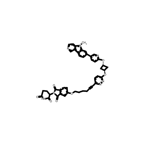 Cn1c2ccncc2c2ccc(-c3ccc(O[C@H]4C[C@H](Oc5ccc(C#CCCCCOc6ccc7c(c6)C(=O)N(C6CCC(=O)NC6=O)C7=O)nn5)C4)nc3)cc21